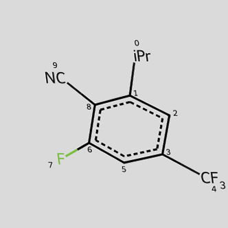 CC(C)c1cc(C(F)(F)F)cc(F)c1C#N